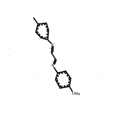 COc1ccc(/N=C/C=N/c2ccc(C)cc2)cc1